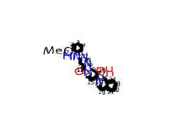 COc1ccccc1Nc1cc(C(=O)N2CC[C@@H](N3CCc4ccccc4C3)[C@H](O)C2)ncn1